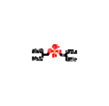 COC(COP(=O)(O)OCC(OC)OC)OC